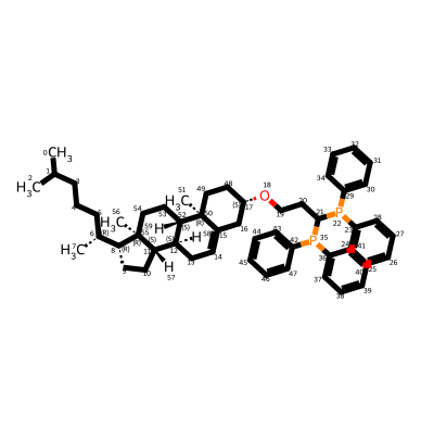 CC(C)CCC[C@@H](C)[C@H]1CC[C@H]2[C@@H]3CC=C4C[C@@H](OCCC(P(c5ccccc5)c5ccccc5)P(c5ccccc5)c5ccccc5)CC[C@]4(C)[C@H]3CC[C@]12C